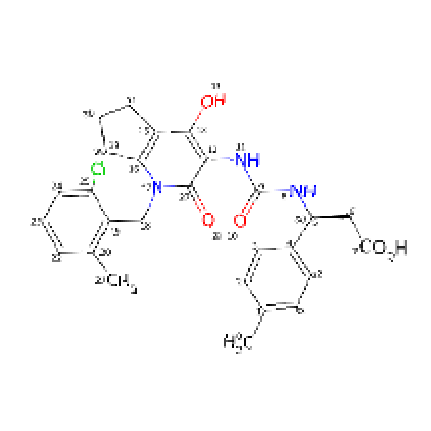 Cc1ccc([C@H](CC(=O)O)NC(=O)Nc2c(O)c3c(n(Cc4c(C)cccc4Cl)c2=O)CCC3)cc1